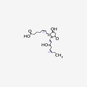 CC/C=C\C[C@H](O)/C=C/[C@H]1C(=O)C[C@H](O)[C@@H]1C/C=C\CCCC(=O)O